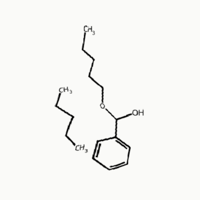 CCCCC.CCCCCOC(O)c1ccccc1